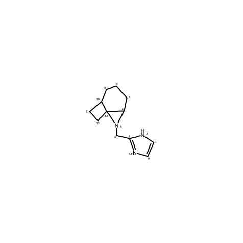 c1c[nH]c(CN2C3CCCC4CCC432)n1